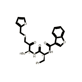 CCCC[C@H](NC(=O)[C@H](CC(C)C)NC(=O)c1coc2ccccc12)C(=O)CSCc1ccco1